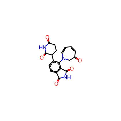 O=C1C=CC=CN(c2c(C3CCC(=O)NC3=O)ccc3c2C(=O)NC3=O)C1